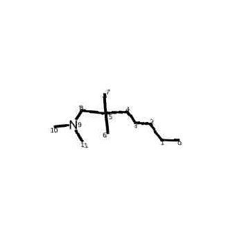 CCCCCC(C)(C)CN(C)C